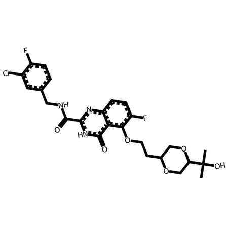 CC(C)(O)C1COC(CCOc2c(F)ccc3nc(C(=O)NCc4ccc(F)c(Cl)c4)[nH]c(=O)c23)CO1